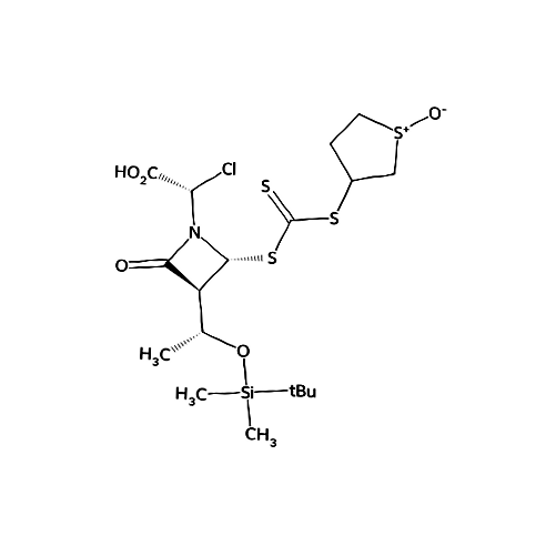 C[C@@H](O[Si](C)(C)C(C)(C)C)[C@H]1C(=O)N([C@@H](Cl)C(=O)O)[C@@H]1SC(=S)SC1CC[S+]([O-])C1